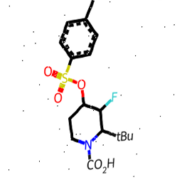 Cc1ccc(S(=O)(=O)OC2CCN(C(=O)O)C(C(C)(C)C)C2F)cc1